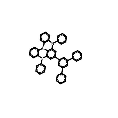 c1ccc(-c2cc(-c3ccccc3)cc(-c3cc4c5c(c3)N(c3ccccc3)c3ccccc3B5c3ccccc3N4c3ccccc3)c2)cc1